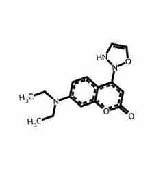 CCN(CC)c1ccc2c(N3NC=CO3)cc(=O)oc2c1